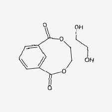 O=C1OCCOC(=O)c2cccc1c2.OCCO